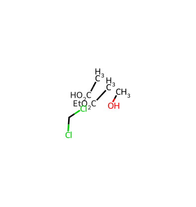 CC(=O)O.CCOC(C)=O.CO.ClCCl